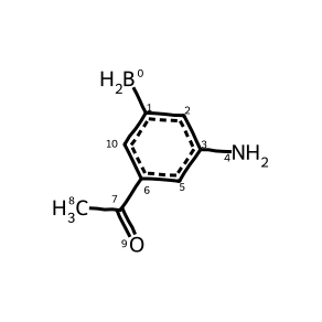 Bc1cc(N)cc(C(C)=O)c1